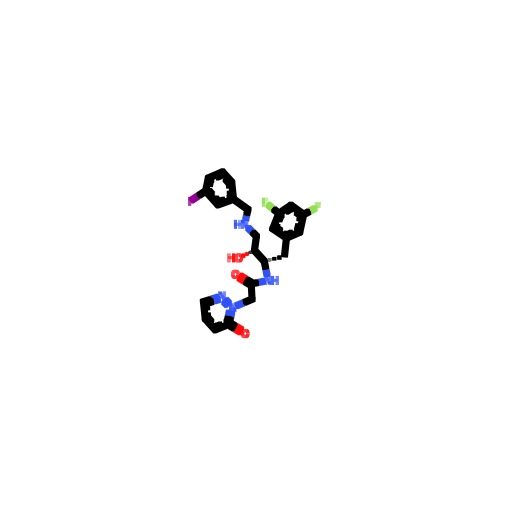 O=C(Cn1ncccc1=O)N[C@@H](Cc1cc(F)cc(F)c1)[C@H](O)CNCc1cccc(I)c1